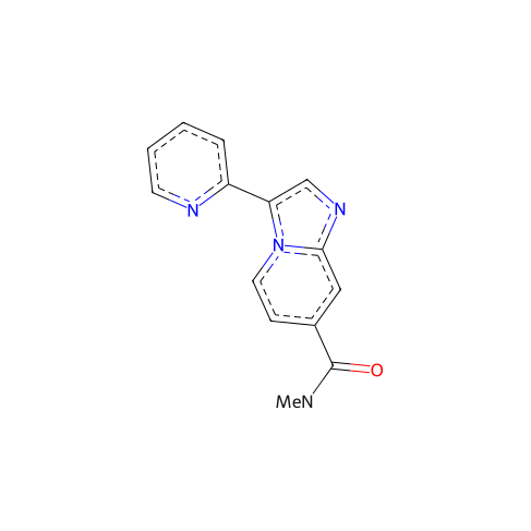 CNC(=O)c1ccn2c(-c3ccccn3)cnc2c1